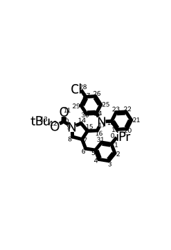 CC(C)c1cccc(CC2CN(C(=O)OC(C)(C)C)CC2CN(c2ccccc2)c2ccc(Cl)cc2)c1